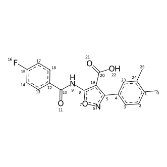 Cc1ccc(-c2noc(NC(=O)c3ccc(F)cc3)c2C(=O)O)cc1C